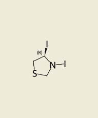 I[C@@H]1CSCN1I